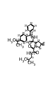 CC(C)CNC(=O)C(=O)N1C[C@H](F)C[C@H]1C(=O)N[C@@H](c1ccccc1)c1ccc(C(C)C)cc1